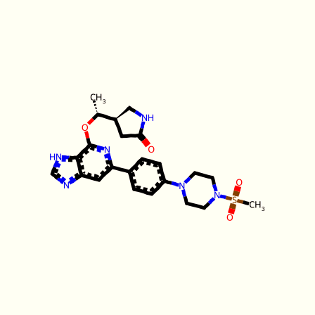 C[C@@H](Oc1nc(-c2ccc(N3CCN(S(C)(=O)=O)CC3)cc2)cc2nc[nH]c12)[C@H]1CNC(=O)C1